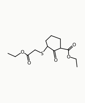 CCOC(=O)CSC1CCCC(C(=O)OCC)C1=O